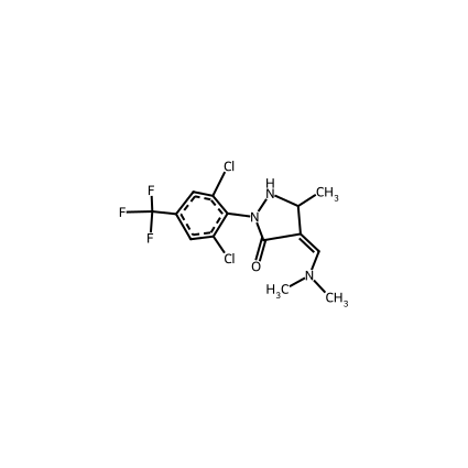 CC1NN(c2c(Cl)cc(C(F)(F)F)cc2Cl)C(=O)C1=CN(C)C